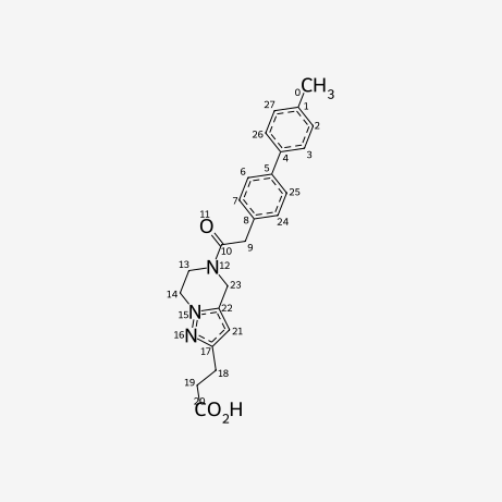 Cc1ccc(-c2ccc(CC(=O)N3CCn4nc(CCC(=O)O)cc4C3)cc2)cc1